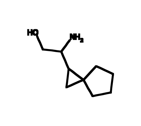 NC(CO)C1CC12CCCC2